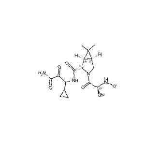 CC(C)(C)[C@H](NCl)C(=O)N1C[C@H]2[C@@H]([C@H]1C(=O)NC(C(=O)C(N)=O)C1CC1)C2(C)C